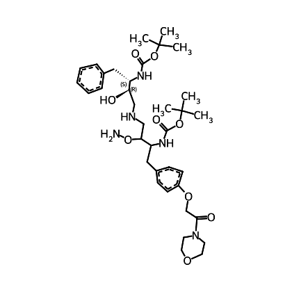 CC(C)(C)OC(=O)NC(Cc1ccc(OCC(=O)N2CCOCC2)cc1)C(CNC[C@@H](O)[C@H](Cc1ccccc1)NC(=O)OC(C)(C)C)ON